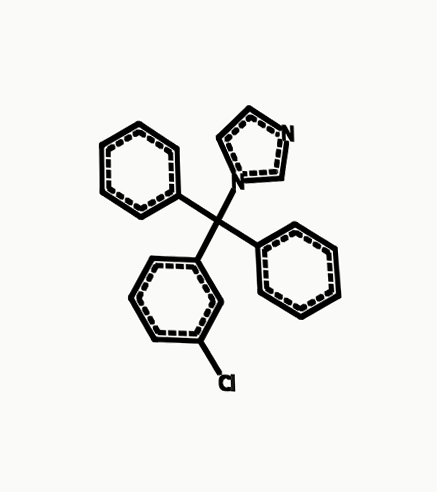 Clc1cccc(C(c2ccccc2)(c2ccccc2)n2ccnc2)c1